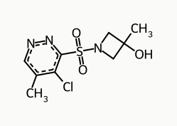 Cc1cnnc(S(=O)(=O)N2CC(C)(O)C2)c1Cl